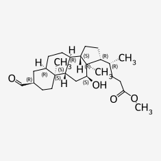 COC(=O)CC[C@@H](C)[C@H]1CC[C@H]2[C@@H]3CC[C@@H]4C[C@H](C=O)CC[C@]4(C)[C@H]3C[C@H](O)[C@]12C